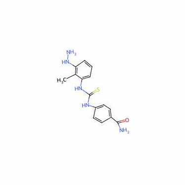 Cc1c(NN)cccc1NC(=S)Nc1ccc(C(N)=O)cc1